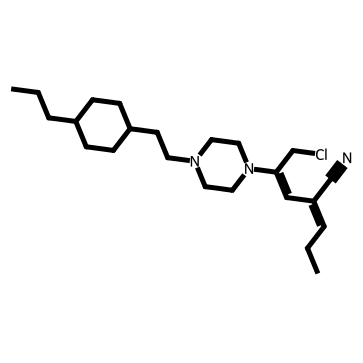 CC/C=C(C#N)\C=C(/CCl)N1CCN(CCC2CCC(CCC)CC2)CC1